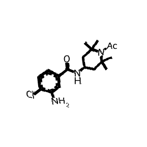 CC(=O)N1C(C)(C)CC(NC(=O)c2ccc(Cl)c(N)c2)CC1(C)C